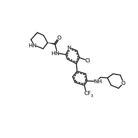 O=C(Nc1cc(-c2ccc(C(F)(F)F)c(NCC3CCOCC3)c2)c(Cl)cn1)[C@@H]1CCCNC1